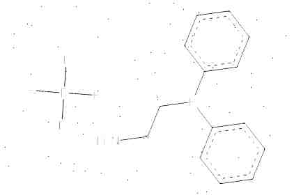 F[B-](F)(F)F.NCCP(c1ccccc1)c1ccccc1